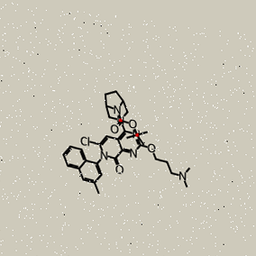 Cc1cc(-n2c(Cl)cc3c(N4CC5CCC(C4)N5C(=O)OC(C)(C)C)nc(OCCCN(C)C)nc3c2=O)c2ccccc2c1